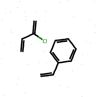 C=CC(=C)Cl.C=Cc1ccccc1